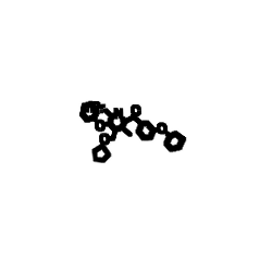 CCCc1nc(C(=O)c2cccc(Oc3ccccc3)c2)c(C)c(COC2CCCC2)c1Oc1ccccc1